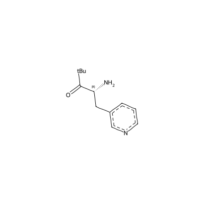 CC(C)(C)C(=O)[C@H](N)Cc1cccnc1